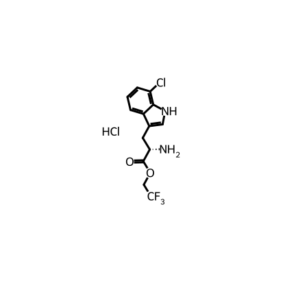 Cl.N[C@@H](Cc1c[nH]c2c(Cl)cccc12)C(=O)OCC(F)(F)F